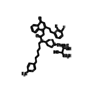 CCN1CCC(N(CCCCCCc2ccc(C(F)(F)F)cc2)C(=O)Cn2c(CCc3cccc(F)c3F)cc(=O)c3ccccc32)CC1.O=C(O)C(O)C(O)C(=O)O